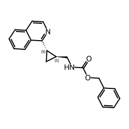 O=C(NC[C@H]1C[C@@H]1c1nccc2ccccc12)OCc1ccccc1